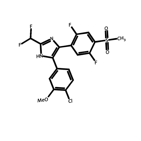 COc1cc(-c2[nH]c(C(F)F)nc2-c2cc(F)c(S(C)(=O)=O)cc2F)ccc1Cl